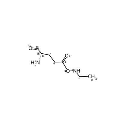 CCNOC(=O)CC[C@H](N)[C]=O